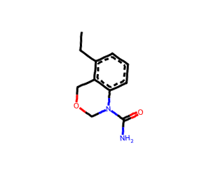 CCc1cccc2c1COCN2C(N)=O